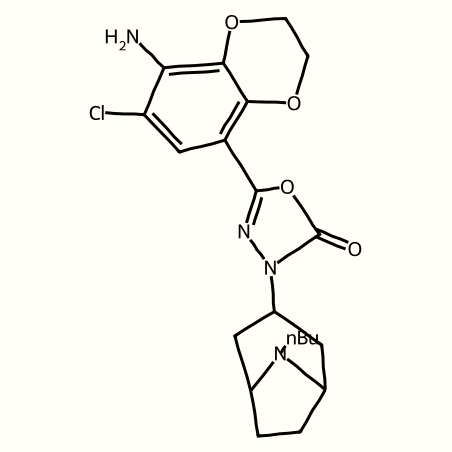 CCCCN1C2CCC1CC(n1nc(-c3cc(Cl)c(N)c4c3OCCO4)oc1=O)C2